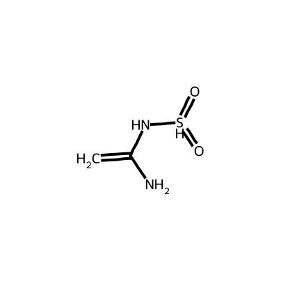 C=C(N)N[SH](=O)=O